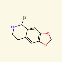 CCC1NCCc2cc3c(cc21)OCO3